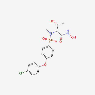 C[C@@H](O)C(C(=O)NO)N(C)S(=O)(=O)c1ccc(Oc2ccc(Cl)cc2)cc1